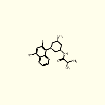 C[C@H]1C[C@@H](NC(=O)[C@@H](N)C(F)(F)F)CN(c2c(F)cc(C#N)c3nccnc23)C1